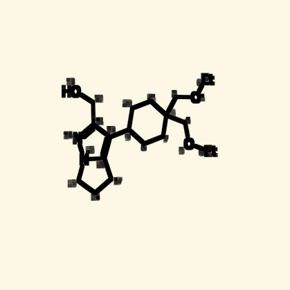 CCOCC1(COCC)CCC(c2c(CO)nn3c2CCC3)CC1